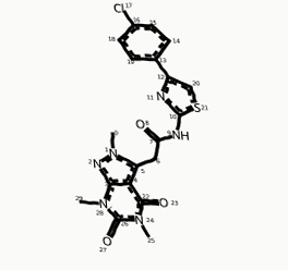 Cn1nc2c(c1CC(=O)Nc1nc(-c3ccc(Cl)cc3)cs1)c(=O)n(C)c(=O)n2C